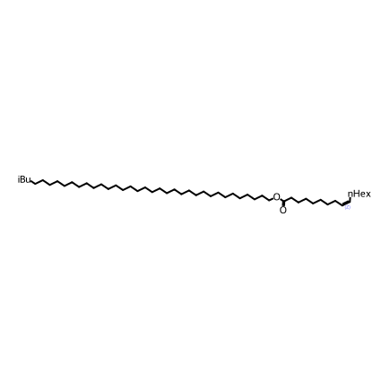 CCCCCC/C=C\CCCCCCCC(=O)OCCCCCCCCCCCCCCCCCCCCCCCCCCCCCCCCCC(C)CC